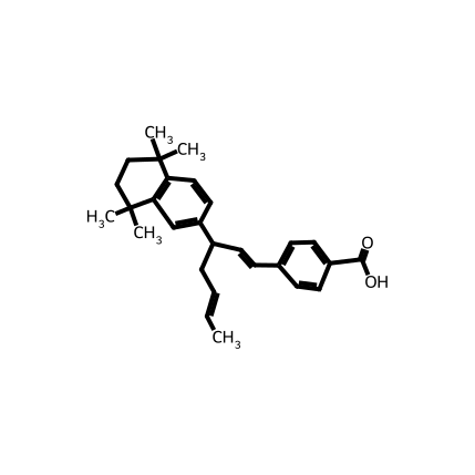 CC=CCC(C=Cc1ccc(C(=O)O)cc1)c1ccc2c(c1)C(C)(C)CCC2(C)C